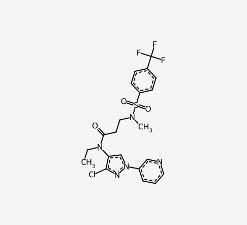 CCN(C(=O)CCN(C)S(=O)(=O)c1ccc(C(F)(F)F)cc1)c1cn(-c2cccnc2)nc1Cl